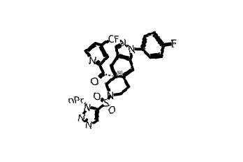 CCCn1nncc1S(=O)(=O)N1CCC2=Cc3c(cnn3-c3ccc(F)cc3)C[C@]2(C(=O)c2cc(C(F)(F)F)ccn2)C1